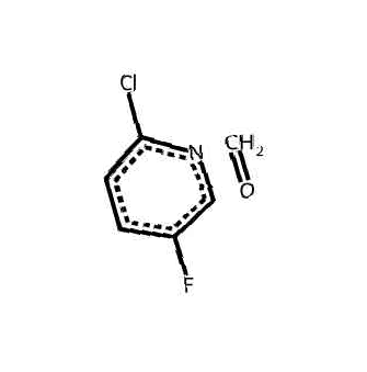 C=O.Fc1ccc(Cl)nc1